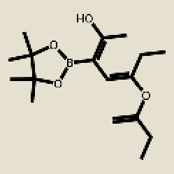 C=C(CC)O/C(=C/C(B1OC(C)(C)C(C)(C)O1)=C(\C)O)CC